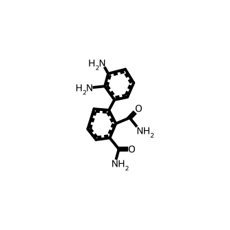 NC(=O)c1cccc(-c2cccc(N)c2N)c1C(N)=O